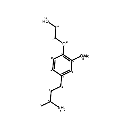 COc1cc(CCC(C)N)ccc1OCCO